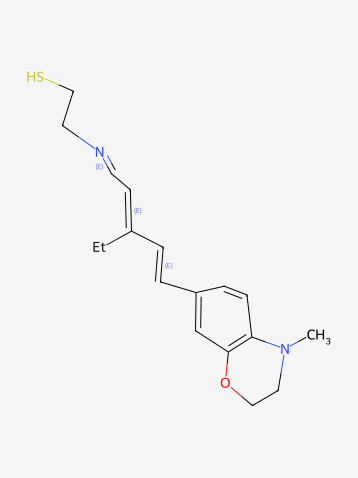 CCC(/C=C/c1ccc2c(c1)OCCN2C)=C\C=N\CCS